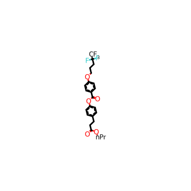 CCCOC(=O)CCc1ccc(OC(=O)c2ccc(OCCCC(F)(F)C(F)(F)F)cc2)cc1